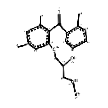 Cc1cc(C)c(C(=O)c2ccccc2C)c(OCC(O)CNC(C)C)c1